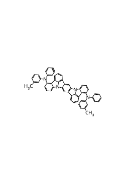 Cc1cccc(N(c2cc#ccc2)c2cccc3c2c2cccc4c5cc6c(cc5n3c42)c2cccc3c4c(N(c5ccccc5)c5cccc(C)c5)cccc4n6c23)c1